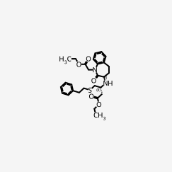 CCOC(=O)C[C@H](CSCCc1ccccc1)N[C@@H]1CCc2ccccc2N(CC(=O)OCC)C1=O